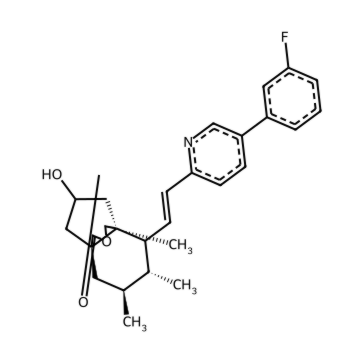 C[C@H]1C[C@]23CC(O)C[C@@]2(C(/C=C/c2ccc(-c4cccc(F)c4)cn2)[C@@H]1C)[C@@H](C)OC3=O